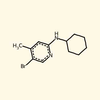 Cc1cc(NC2CCCCC2)ncc1Br